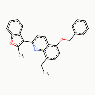 CCc1ccc(OCc2ccccc2)c2ccc(-c3c(C)oc4ccccc34)nc12